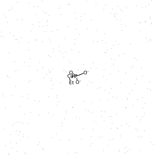 C[CH2][Cu+2].O=[PH]([O-])[O-]